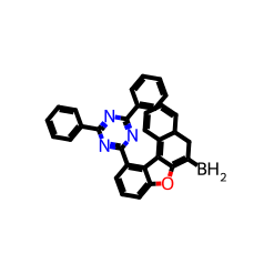 BC1=c2oc3cccc(-c4nc(-c5ccccc5)nc(-c5ccccc5)n4)c3c2=C2C=CC=CC2C1